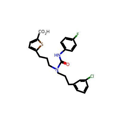 O=C(O)c1ccc(CCCN(CCCc2cccc(Cl)c2)C(=O)Nc2ccc(F)cc2)s1